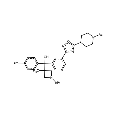 CCCN1CC(C)(C(O)(c2ccc(C(C)C)cc2)c2cncc(-c3noc(C4CCN(C(C)=O)CC4)n3)c2)C1